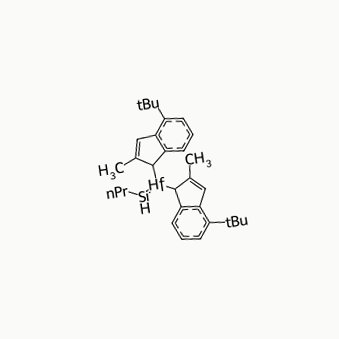 CCC[SiH]=[Hf]([CH]1C(C)=Cc2c1cccc2C(C)(C)C)[CH]1C(C)=Cc2c1cccc2C(C)(C)C